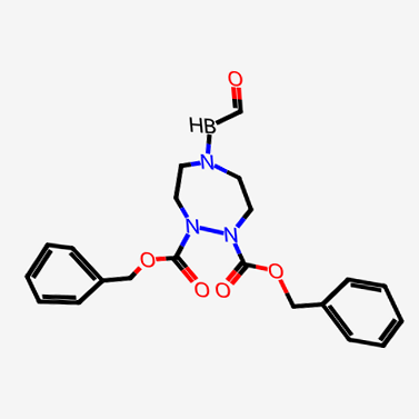 O=CBN1CCN(C(=O)OCc2ccccc2)N(C(=O)OCc2ccccc2)CC1